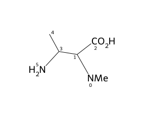 CNC(C(=O)O)C(C)N